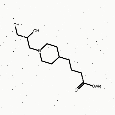 COC(=O)CCCC1CCN(CC(O)CO)CC1